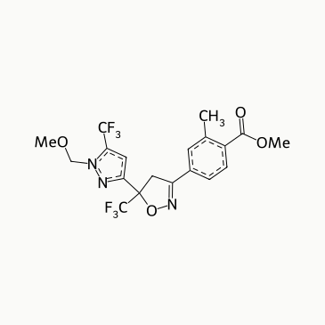 COCn1nc(C2(C(F)(F)F)CC(c3ccc(C(=O)OC)c(C)c3)=NO2)cc1C(F)(F)F